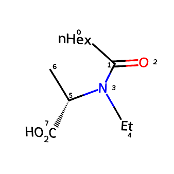 CCCCCCC(=O)N(CC)[C@@H](C)C(=O)O